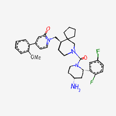 COc1ccccc1-c1ccn(C[C@@H]2CCN(C(=O)N3CC[C@@H](N)C[C@H]3c3cc(F)ccc3F)CC23CCCC3)c(=O)c1